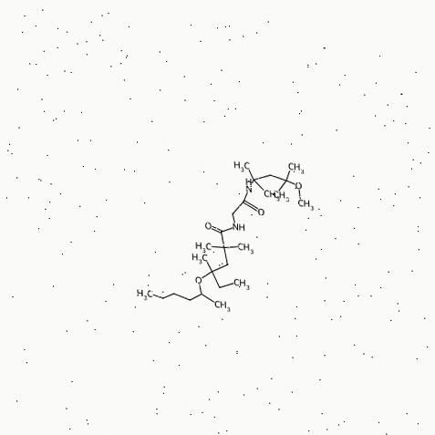 CCCCC(C)OC(C)(CC)CC(C)(C)C(=O)NCC(=O)NC(C)(C)CC(C)(C)OC